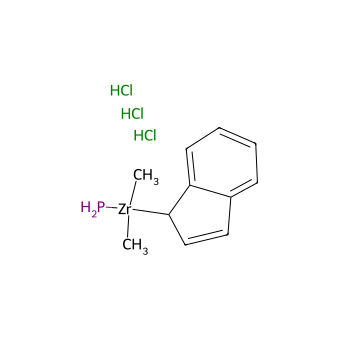 Cl.Cl.Cl.[CH3][Zr]([CH3])([PH2])[CH]1C=Cc2ccccc21